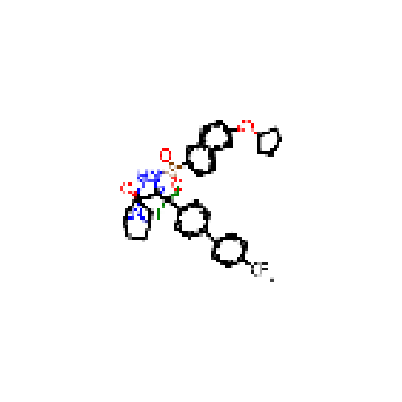 NC1CC2CCC(C1)N2C(=O)C(NS(=O)(=O)c1ccc2cc(OC3CCCC3)ccc2c1)C(F)(F)c1ccc(-c2ccc(C(F)(F)F)cc2)cc1